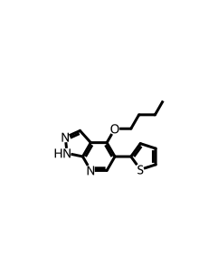 CCCCOc1c(-c2cccs2)cnc2[nH]ncc12